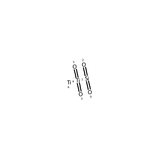 O=[Si]=O.[O]=[Ti]=[O].[Ti]